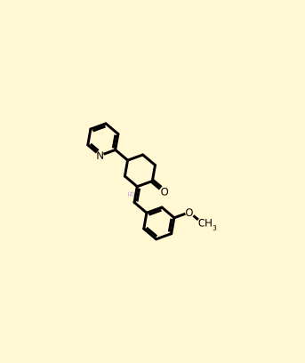 COc1cccc(/C=C2/CC(c3ccccn3)CCC2=O)c1